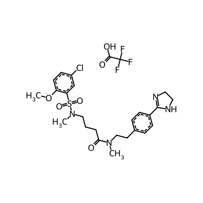 COc1ccc(Cl)cc1S(=O)(=O)N(C)CCCC(=O)N(C)CCc1ccc(C2=NCCN2)cc1.O=C(O)C(F)(F)F